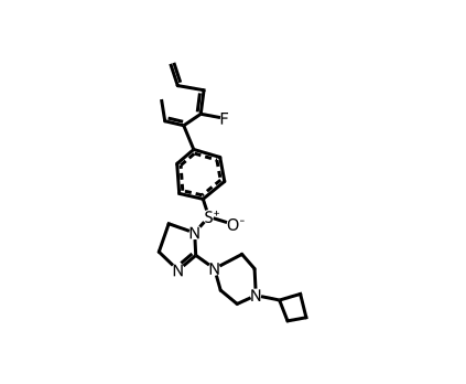 C=C/C=C(F)\C(=C/C)c1ccc([S+]([O-])N2CCN=C2N2CCN(C3CCC3)CC2)cc1